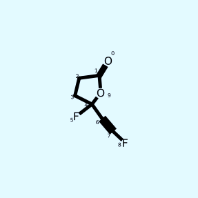 O=C1CCC(F)(C#CF)O1